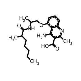 CCCCCC(C)C(=O)NC(C)COc1cccc2nc(C)c(C(=O)O)c(N)c12